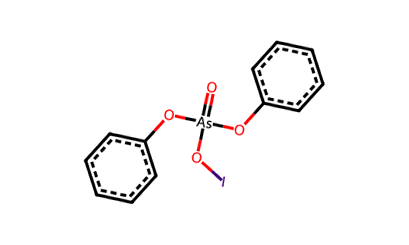 O=[As](OI)(Oc1ccccc1)Oc1ccccc1